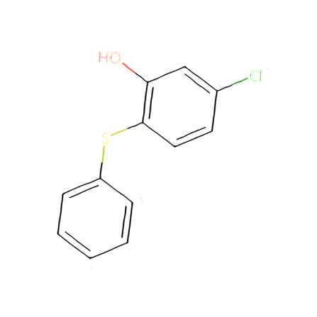 Oc1cc(Cl)ccc1Sc1ccccc1